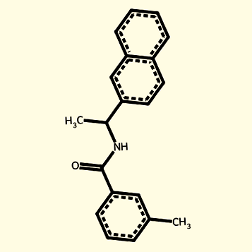 Cc1cccc(C(=O)NC(C)c2ccc3ccccc3c2)c1